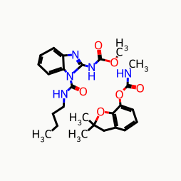 CCCCNC(=O)n1c(NC(=O)OC)nc2ccccc21.CNC(=O)Oc1cccc2c1OC(C)(C)C2